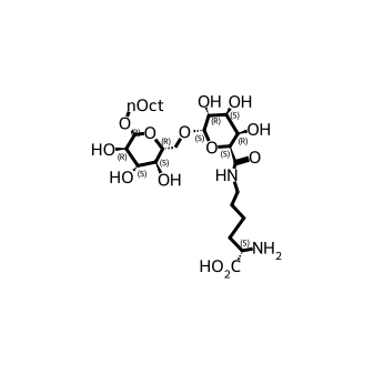 CCCCCCCCO[C@@H]1O[C@H](CO[C@H]2O[C@H](C(=O)NCCCC[C@H](N)C(=O)O)[C@H](O)[C@H](O)[C@H]2O)[C@@H](O)[C@H](O)[C@H]1O